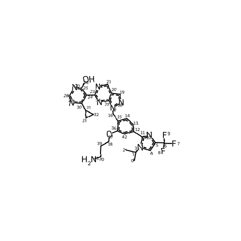 CC(C)n1cc(C(F)(F)F)nc1-c1ccc(Cn2ncc3cnc(-c4c(O)ncnc4C4CC4)nc32)c(OCCCN)c1